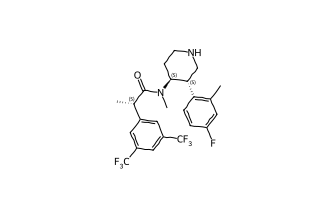 Cc1cc(F)ccc1[C@H]1CNCC[C@@H]1N(C)C(=O)[C@@H](C)c1cc(C(F)(F)F)cc(C(F)(F)F)c1